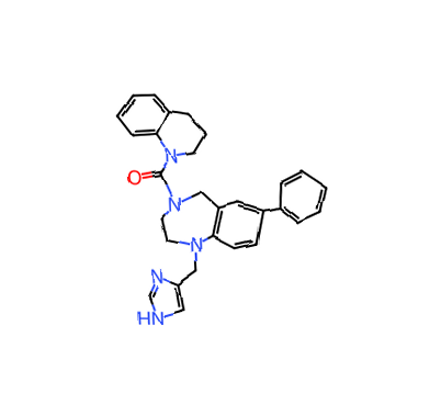 O=C(N1CCN(Cc2c[nH]cn2)c2ccc(-c3ccccc3)cc2C1)N1CCCc2ccccc21